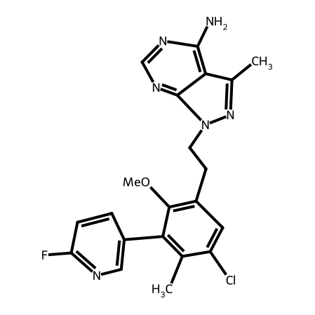 COc1c(CCn2nc(C)c3c(N)ncnc32)cc(Cl)c(C)c1-c1ccc(F)nc1